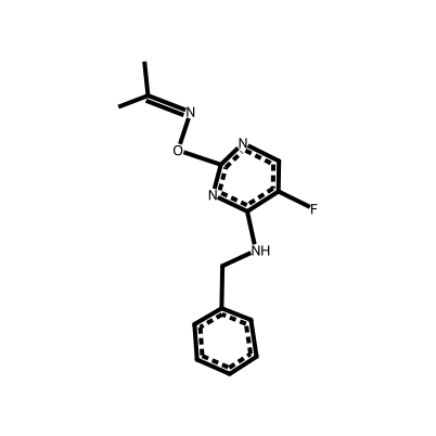 CC(C)=NOc1ncc(F)c(NCc2ccccc2)n1